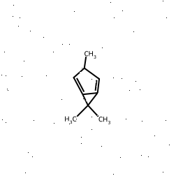 C[C]1C=C2C(=C1)C2(C)C